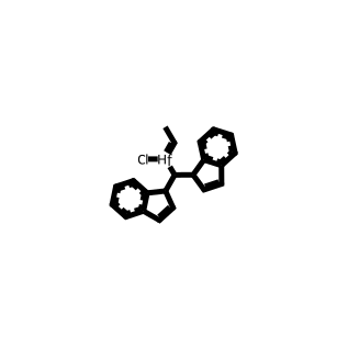 C[CH]=[Hf]([Cl])[CH](C1C=Cc2ccccc21)C1C=Cc2ccccc21